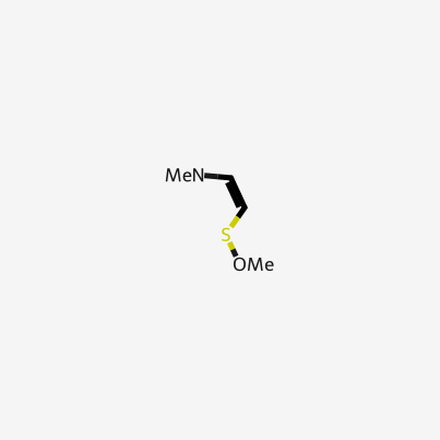 CN/C=C\SOC